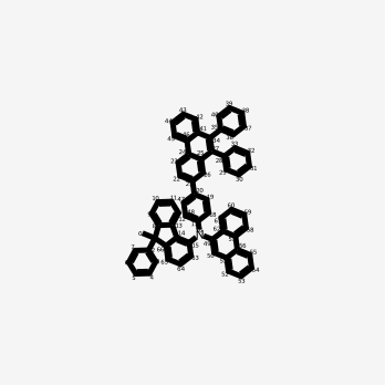 CC1(c2ccccc2)c2ccccc2-c2c(N(c3ccc(-c4ccc5c(c4)c(-c4ccccc4)c(-c4ccccc4)c4ccccc45)cc3)c3cc4ccccc4c4ccccc34)cccc21